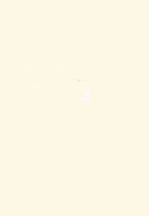 CC(=O)NC1C(NS(=O)(=O)c2ccc3ccccc3c2)C=C(C(=O)O)OC1C(O)C(O)CO